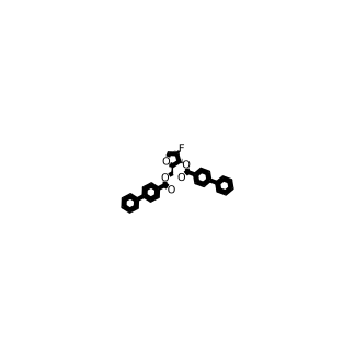 O=C(OC[C@H]1OC[C@@H](F)[C@@H]1OC(=O)c1ccc(-c2ccccc2)cc1)c1ccc(-c2ccccc2)cc1